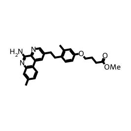 COC(=O)CCCOc1ccc(CCc2cnc3c(N)nc4cc(C)ccc4c3c2)c(C)c1